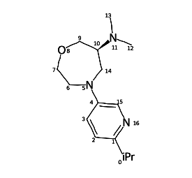 CC(C)c1ccc(N2CCOC[C@@H](N(C)C)C2)cn1